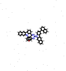 c1ccc(-n2c3cc4ccccc4cc3c3cccc(-c4nc(-n5c6ccc(-c7cccc8ccccc78)cc6c6cc7ccccc7cc65)nc5ccccc45)c32)cc1